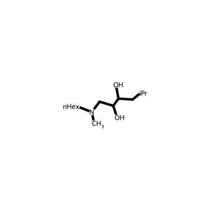 CCCCCCN(C)CC(O)C(O)CC(C)C